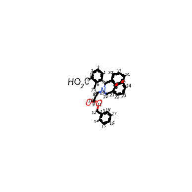 O=C(O)c1ccccc1C[C@@H](C(=O)OCc1ccccc1)N(Cc1ccccc1)Cc1ccccc1